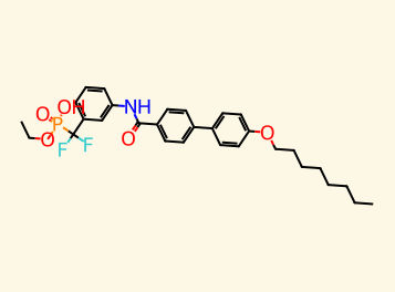 CCCCCCCCOc1ccc(-c2ccc(C(=O)Nc3cccc(C(F)(F)P(=O)(O)OCC)c3)cc2)cc1